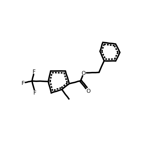 Cc1cc(C(F)(F)F)ccc1C(=O)OCc1ccccc1